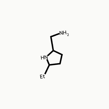 CCC1CCC(CN)N1